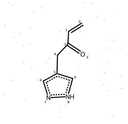 C=CC(=O)Cc1cn[nH]c1